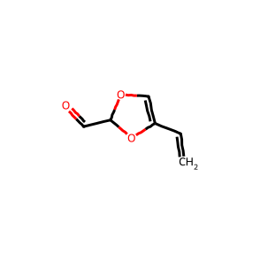 C=CC1=COC(C=O)O1